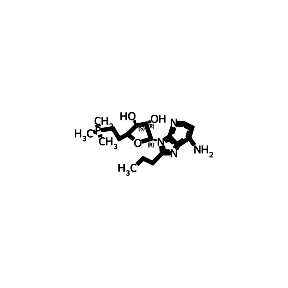 C=P(C)(C)CCC1O[C@@H](n2c(CCC)nc3c(N)ccnc32)[C@H](O)[C@@H]1O